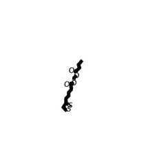 CCCC(=O)OCOC(=O)CCCCC1CCSS1